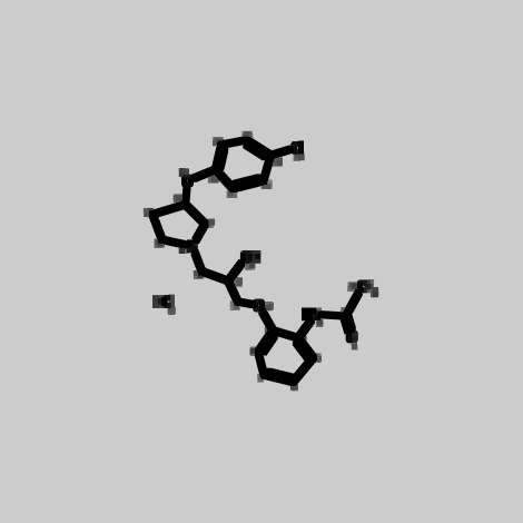 Cl.O=C(Nc1ccccc1OCC(O)CN1CCC(Oc2ccc(Cl)cc2)C1)C(F)(F)F